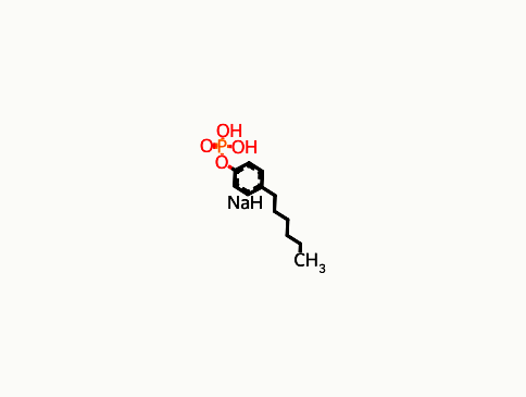 CCCCCCc1ccc(OP(=O)(O)O)cc1.[NaH]